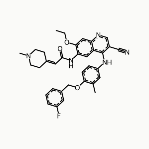 CCOc1cc2ncc(C#N)c(Nc3ccc(OCc4cccc(F)c4)c(C)c3)c2cc1NC(=O)C=C1CCN(C)CC1